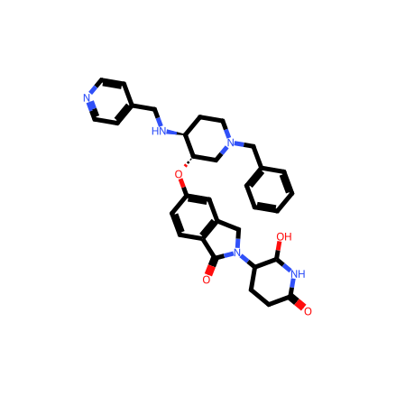 O=C1CCC(N2Cc3cc(O[C@H]4CN(Cc5ccccc5)CC[C@@H]4NCc4ccncc4)ccc3C2=O)C(O)N1